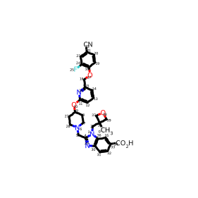 CC1(Cn2c(CN3CCC(Oc4cccc(COc5ccc(C#N)cc5F)n4)CC3)nc3ccc(C(=O)O)cc32)COC1